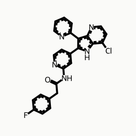 O=C(Cc1ccc(F)cc1)Nc1cc(-c2[nH]c3c(Cl)ccnc3c2-c2ccccn2)ccn1